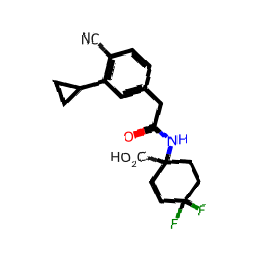 N#Cc1ccc(CC(=O)NC2(C(=O)O)CCC(F)(F)CC2)cc1C1CC1